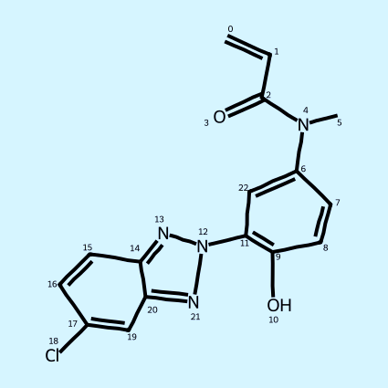 C=CC(=O)N(C)c1ccc(O)c(-n2nc3ccc(Cl)cc3n2)c1